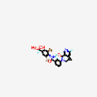 O=C(Nc1c(Br)cc(C(O)(O)F)cc1Br)c1cccc(N(CC2CC2)C(=O)c2ccc(F)nc2)c1F